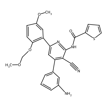 COCOc1ccc(OC)cc1-c1cc(-c2cccc(N)c2)c(C#N)c(NC(=O)c2cccs2)n1